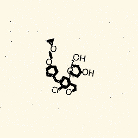 OC[C@@H]1CC(O)C[C@H](c2cc(Cc3ccc(OCCOC4CC4)cc3)c(Cl)c3c2CCO3)O1